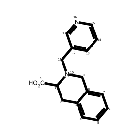 O=C(O)C1Cc2ccccc2CN1Cc1cccnc1